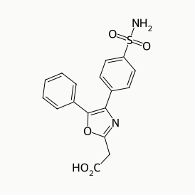 NS(=O)(=O)c1ccc(-c2nc(CC(=O)O)oc2-c2ccccc2)cc1